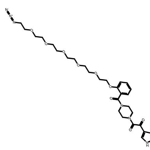 COc1ccc(Br)c2[nH]cc(C(=O)C(=O)N3CCN(C(=O)c4ccccc4OCCOCCOCCOCCOCCOCCN=[N+]=[N-])CC3)c12